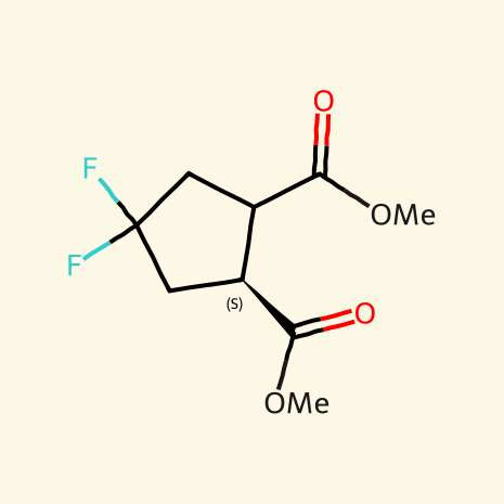 COC(=O)C1CC(F)(F)C[C@@H]1C(=O)OC